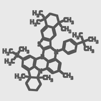 Cc1cc2c3c(c1)N1c4c(cc([Si](C)(C)C)cc4C4(C)CCCCC14C)B3c1sc3cc4c(cc3c1N2c1ccc(C(C)(C)C)cc1)C(C)(C)CCC4(C)C